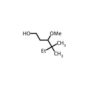 CCC(C)(C)C(CCO)OC